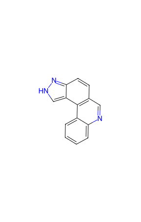 c1ccc2c(c1)ncc1ccc3n[nH]cc3c12